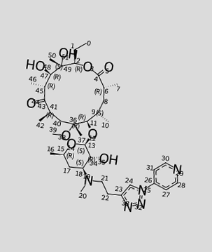 CC[C@H]1OC(=O)[C@H](C)C[C@H](C)[C@@H](O[C@@H]2O[C@H](C)C[C@H](N(C)CCc3cn(-c4ccncc4)nn3)[C@H]2O)[C@](C)(OC)C[C@@H](C)C(=O)[C@H](C)[C@@H](O)[C@]1(C)O